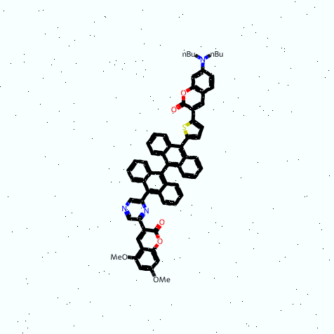 CCCCN(CCCC)c1ccc2cc(-c3ccc(-c4c5ccccc5c(-c5c6ccccc6c(-c6cncc(-c7cc8c(OC)cc(OC)cc8oc7=O)n6)c6ccccc56)c5ccccc45)s3)c(=O)oc2c1